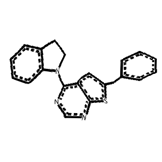 c1ccc(-c2cc3c(N4CCc5ccccc54)ncnc3s2)cc1